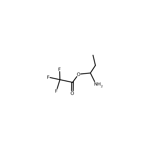 CCC(N)OC(=O)C(F)(F)F